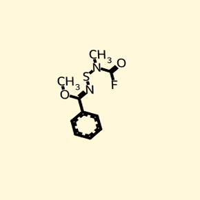 COC(=NSN(C)C(=O)F)c1ccccc1